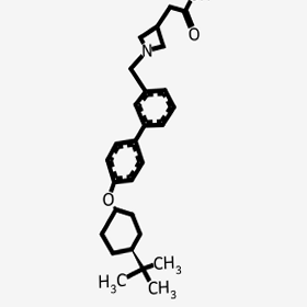 CC(C)(C)[C@H]1CC[C@H](Oc2ccc(-c3cccc(CN4CC(CC(=O)O)C4)c3)cc2)CC1